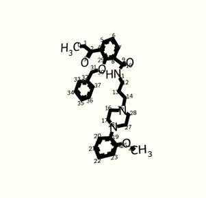 CCC(=O)c1cccc(C(=O)NCCCN2CCN(c3ccccc3OC)CC2)c1OCc1ccccc1